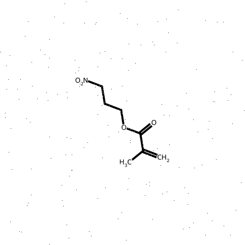 C=C(C)C(=O)OCCC[N+](=O)[O-]